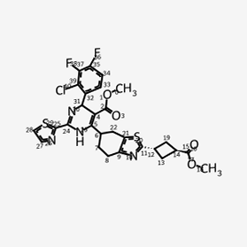 COC(=O)C1=C(C2CCc3nc([C@H]4C[C@H](C(=O)OC)C4)sc3C2)NC(c2nccs2)=NC1c1ccc(F)c(F)c1Cl